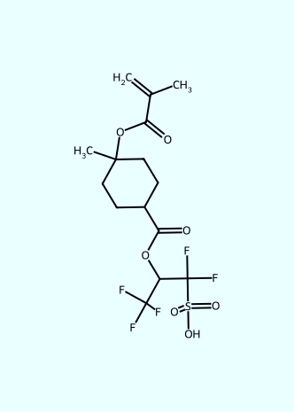 C=C(C)C(=O)OC1(C)CCC(C(=O)OC(C(F)(F)F)C(F)(F)S(=O)(=O)O)CC1